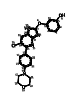 Oc1cccc(Oc2nc3nc(-c4ccc(N5CCOCC5)cc4)c(Cl)cc3[nH]2)c1